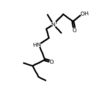 CCC(C)C(=O)NCC[N+](C)(C)CC(=O)O